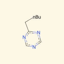 CCCCCc1ncncn1